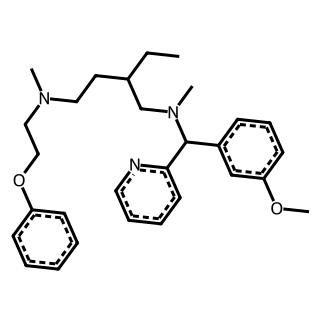 CCC(CCN(C)CCOc1ccccc1)CN(C)C(c1cccc(OC)c1)c1ccccn1